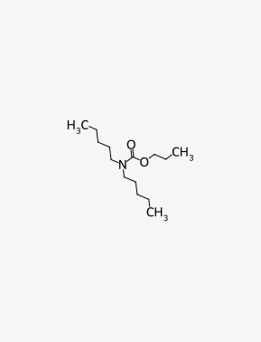 CCCCCN(CCCCC)C(=O)OCCC